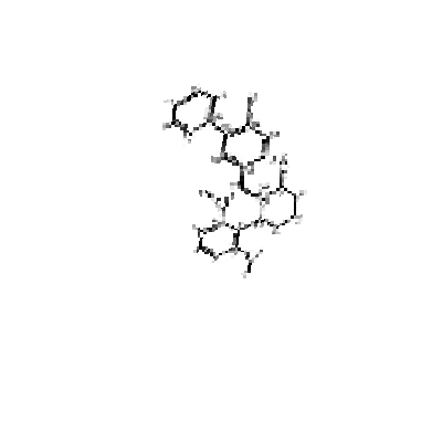 COc1ccnc(OC)c1C1CCCC(=O)N1Cc1ccc(F)c(-c2ccccn2)c1